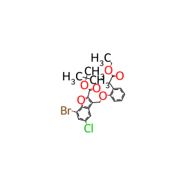 CCOC(=O)Cc1ccccc1OCc1c(C(=O)OC(C)(C)C)oc2c(Br)cc(Cl)cc12